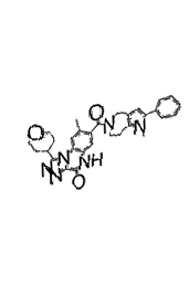 Cc1cc2c(cc1C(=O)N1CCc3c(cc(-c4ccccc4)n3C)C1)[nH]c(=O)c1nnc(C3CCOCC3)n12